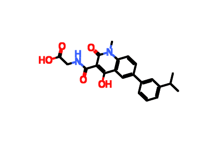 CC(C)c1cccc(-c2ccc3c(c2)c(O)c(C(=O)NCC(=O)O)c(=O)n3C)c1